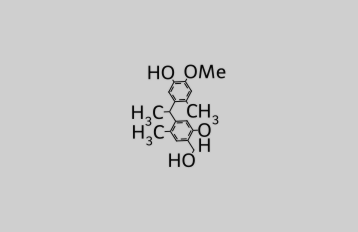 COc1cc(C)c(C(C)c2cc(O)c(CO)cc2C)cc1O